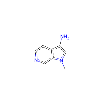 Cn1cc(N)c2ccncc21